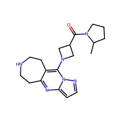 CC1CCCN1C(=O)C1CN(c2c3c(nc4ccnn24)CCNCC3)C1